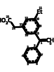 C=C(c1ccccc1)c1cc(CC)cc(CC(=O)O)c1